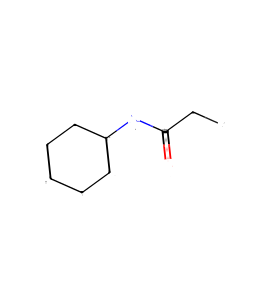 CC(=O)CC(=O)NC1CCCCC1